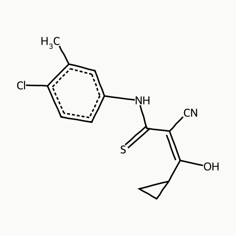 Cc1cc(NC(=S)/C(C#N)=C(/O)C2CC2)ccc1Cl